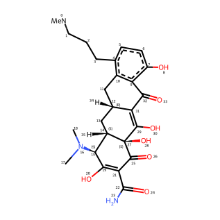 CNCCCc1ccc(O)c2c1C[C@H]1C[C@H]3[C@H](N(C)C)C(O)=C(C(N)=O)C(=O)[C@@]3(O)C(O)=C1C2=O